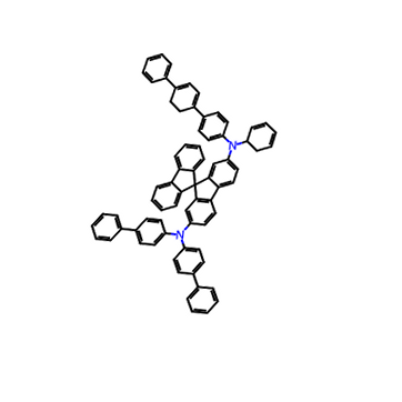 C1=CCC(N(c2ccc(C3=CC=C(c4ccccc4)CC3)cc2)c2ccc3c(c2)C2(c4ccccc4-c4ccccc42)c2cc(N(c4ccc(-c5ccccc5)cc4)c4ccc(-c5ccccc5)cc4)ccc2-3)C=C1